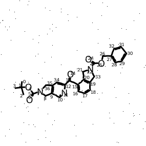 CC(C)(C)OC(=O)N1Cc2cnc(C(=O)c3cccc4c3CN(C(=O)OCc3ccccc3)C4)cc2C1